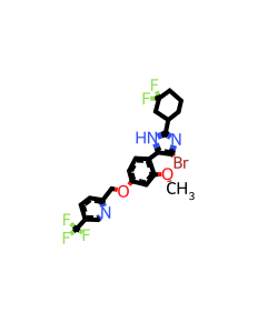 COc1cc(OCc2ccc(C(F)(F)F)cn2)ccc1-c1[nH]c(C2CCCC(F)(F)C2)nc1Br